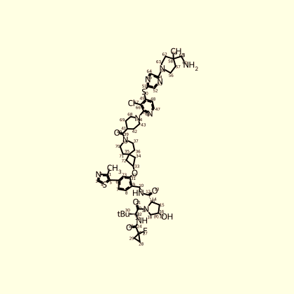 Cc1ncsc1-c1ccc(CNC(=O)[C@@H]2C[C@@H](O)CN2C(=O)[C@@H](NC(=O)C2(F)CC2)C(C)(C)C)c(OC2CC3(CCN(C(=O)C4CCN(c5nccc(Sc6cnc(N7CCC(C)(CN)CC7)cn6)c5Cl)CC4)CC3)C2)c1